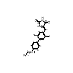 Cc1cc(-c2ccc(NCC(C)C)cc2)c(C)cc1C=C1SC(=O)NC1=O